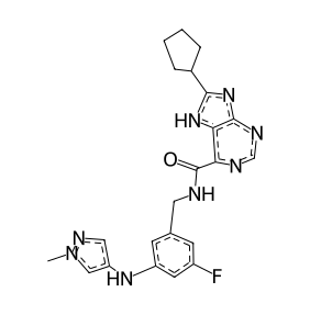 Cn1cc(Nc2cc(F)cc(CNC(=O)c3ncnc4nc(C5CCCC5)[nH]c34)c2)cn1